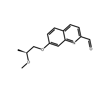 CO[C@@H](C)COc1ccc2ccc(C=O)nc2c1